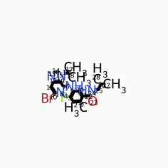 Cc1cc(F)c(Nc2nc(Br)cc3ncn(C(C)C)c23)cc1C(=O)NCC(C)C